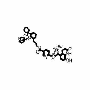 CC(C)(C)[Si](C)(C)OC(CNCc1ccc(C(=O)OCCCc2cccc(C3(C(=O)O[C@H]4CN5CCC4CC5)CCCCC3)c2)cn1)c1ccc(O)c2[nH]c(=O)ccc12